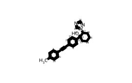 Cc1ccc(C#Cc2ccc(C3(O)CCCCC3n3cncn3)cc2)cc1